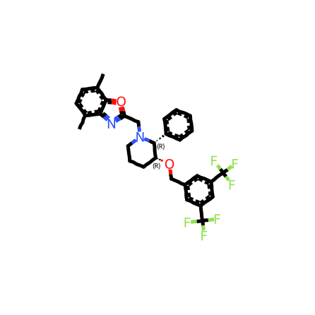 Cc1ccc(C)c2oc(CN3CCC[C@@H](OCc4cc(C(F)(F)F)cc(C(F)(F)F)c4)[C@H]3c3ccccc3)nc12